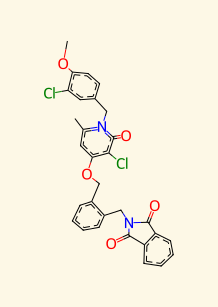 COc1ccc(Cn2c(C)cc(OCc3ccccc3CN3C(=O)c4ccccc4C3=O)c(Cl)c2=O)cc1Cl